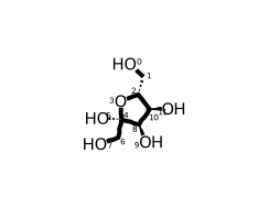 OC[C@H]1O[C@](O)(CO)[C@H](O)[C@@H]1O